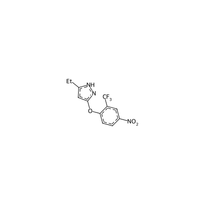 CCc1cc(Oc2ccc([N+](=O)[O-])cc2C(F)(F)F)n[nH]1